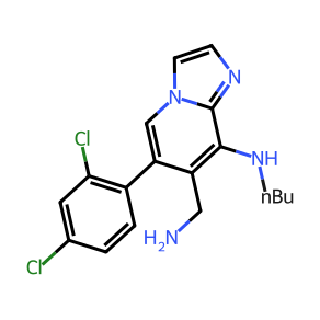 CCCCNc1c(CN)c(-c2ccc(Cl)cc2Cl)cn2ccnc12